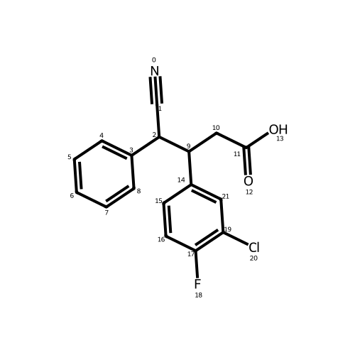 N#CC(c1ccccc1)C(CC(=O)O)c1ccc(F)c(Cl)c1